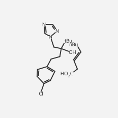 CC(C)(C)C(O)(CCc1ccc(Cl)cc1)Cn1cncn1.CCCC/C=C/CC(=O)O